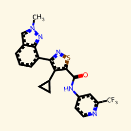 Cn1cc2cccc(-c3nsc(C(=O)Nc4ccnc(C(F)(F)F)c4)c3C3CC3)c2n1